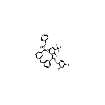 O=C(NCc1ccccc1)c1cccc(Cc2cccc(-c3c4cccc(C(F)(F)F)c4nn3Cc3ccc(Cl)cc3F)c2)c1